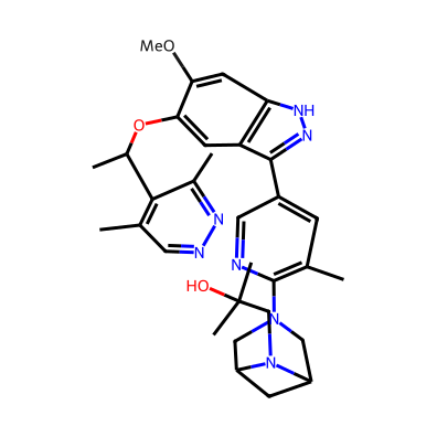 COc1cc2[nH]nc(-c3cnc(N4CC5CC(C4)N5CC(C)(C)O)c(C)c3)c2cc1OC(C)c1c(C)cnnc1C